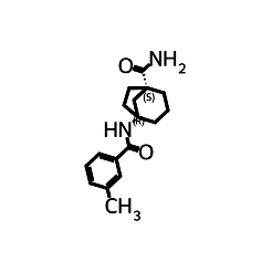 Cc1cccc(C(=O)N[C@]23CCC[C@](C(N)=O)(CC2)C3)c1